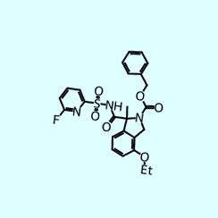 CCOc1cccc2c1CN(C(=O)OCc1ccccc1)C2(C)C(=O)NS(=O)(=O)c1cccc(F)n1